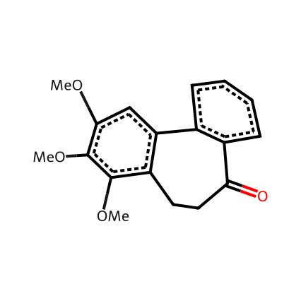 COc1cc2c(c(OC)c1OC)CCC(=O)c1ccccc1-2